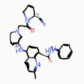 Cc1ccc2c(N[C@H]3CCN(CC(=O)N4CCC[C@H]4C#N)C3)ccc(C(=O)Nc3ccccc3)c2n1